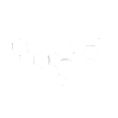 O=C(/N=c1\[nH]c2cc(N3CCCOC3=O)ccc2n1C1CCC1)c1cccc(C(F)(F)F)c1